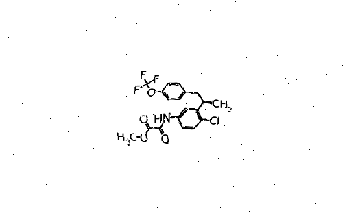 C=C(Cc1ccc(OC(F)(F)F)cc1)c1cc(NC(=O)C(=O)OC)ccc1Cl